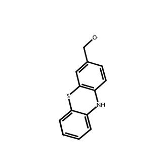 [O]Cc1ccc2c(c1)Sc1ccccc1N2